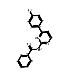 O=C(Nc1nccc(-c2ccc(F)cc2)n1)c1ccccc1